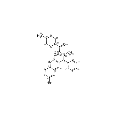 COc1nc2ccc(Br)cc2cc1C(c1ccccc1)N(C)CC(=O)N1CCC(C)CC1